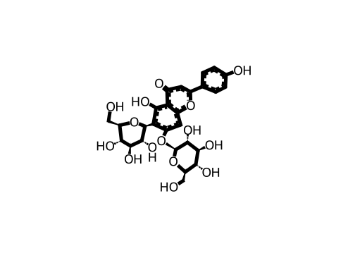 O=c1cc(-c2ccc(O)cc2)oc2cc(O[C@@H]3O[C@H](CO)[C@@H](O)[C@H](O)[C@H]3O)c([C@@H]3O[C@H](CO)[C@@H](O)[C@H](O)[C@H]3O)c(O)c12